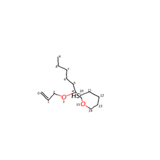 C=CCOC(CCCCC)[SiH]1CCCCO1